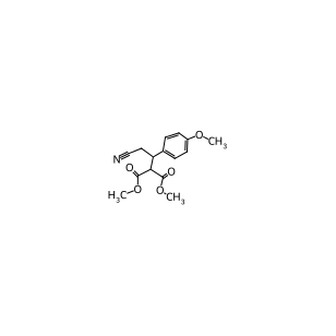 COC(=O)C(C(=O)OC)C(CC#N)c1ccc(OC)cc1